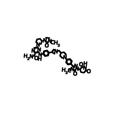 CN1CCN([C@@H]2CCCN(c3cnc(C(N)=O)c(Nc4ccc(C5CN(CC6CCN(c7ccc(-c8nn(C9CCC(=O)NC9=O)c(=O)n8C)cc7)CC6)C5)cc4)n3)C2)C1=O